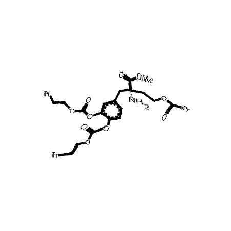 COC(=O)[C@@](N)(CCOC(=O)C(C)C)Cc1ccc(OC(=O)OCCC(C)C)c(OC(=O)OCCC(C)C)c1